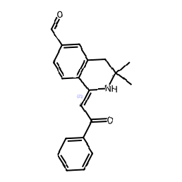 CC1(C)Cc2cc(C=O)ccc2/C(=C/C(=O)c2ccccc2)N1